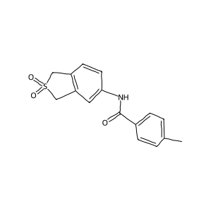 Cc1ccc(C(=O)Nc2ccc3c(c2)CS(=O)(=O)C3)cc1